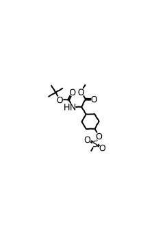 COC(=O)C(NC(=O)OC(C)(C)C)C1CCC(OS(C)(=O)=O)CC1